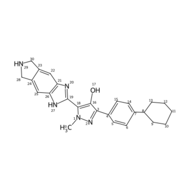 Cn1nc(-c2ccc(C3CCCCC3)cc2)c(O)c1-c1nc2cc3c(cc2[nH]1)CNC3